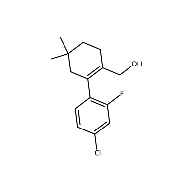 CC1(C)CCC(CO)=C(c2ccc(Cl)cc2F)C1